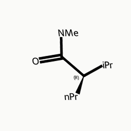 CCC[C@@H](C(=O)NC)C(C)C